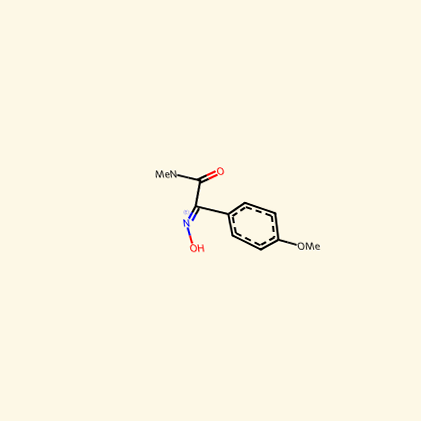 CNC(=O)/C(=N/O)c1ccc(OC)cc1